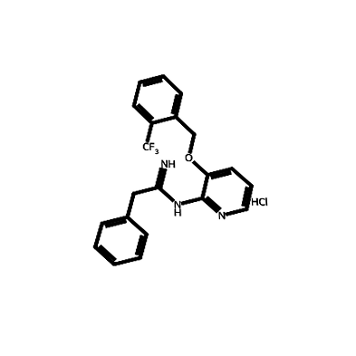 Cl.N=C(Cc1ccccc1)Nc1ncccc1OCc1ccccc1C(F)(F)F